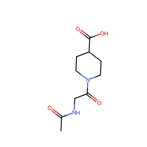 CC(=O)NCC(=O)N1CCC(C(=O)O)CC1